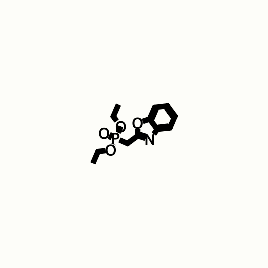 CCOP(=O)(Cc1nc2ccccc2o1)OCC